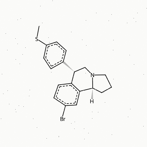 CSc1ccc([C@@H]2CN3CCC[C@H]3c3cc(Br)ccc32)cc1